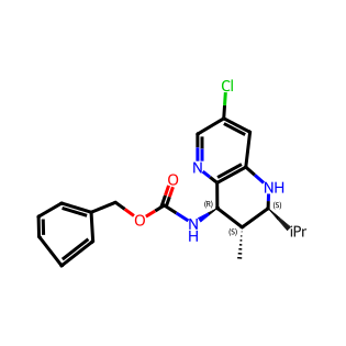 CC(C)[C@@H]1Nc2cc(Cl)cnc2[C@H](NC(=O)OCc2ccccc2)[C@H]1C